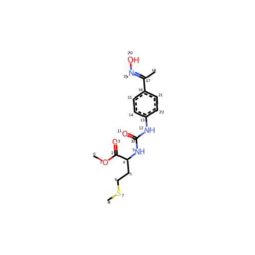 COC(=O)C(CCSC)NC(=O)Nc1ccc(C(C)=NO)cc1